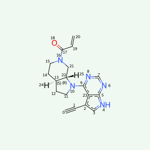 C#Cc1c[nH]c2ncnc(N3CC[C@H]4CCN(C(=O)C=C)C[C@@H]43)c12